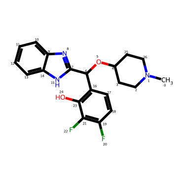 CN1CCC(OC(c2nc3ccccc3[nH]2)c2ccc(F)c(F)c2O)CC1